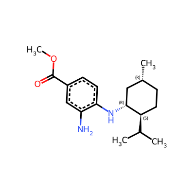 COC(=O)c1ccc(N[C@@H]2C[C@H](C)CC[C@H]2C(C)C)c(N)c1